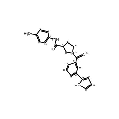 Cc1ccc(NC(=O)C2CCN(C(=O)c3cccc(-c4ccco4)c3)C2)cc1